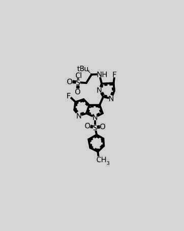 Cc1ccc(S(=O)(=O)n2cc(-c3ncc(F)c(N[C@H](CS(=O)(=O)Cl)C(C)(C)C)n3)c3cc(F)cnc32)cc1